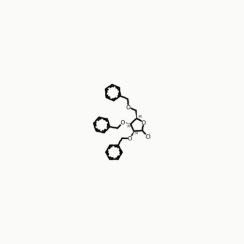 ClC1O[C@H](COCc2ccccc2)[C@@H](OCc2ccccc2)[C@@H]1OCc1ccccc1